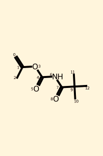 C=C(C)OC(=O)NC(=O)C(C)(C)C